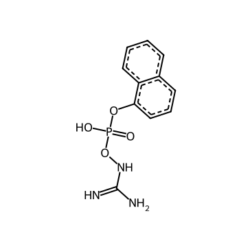 N=C(N)NOP(=O)(O)Oc1cccc2ccccc12